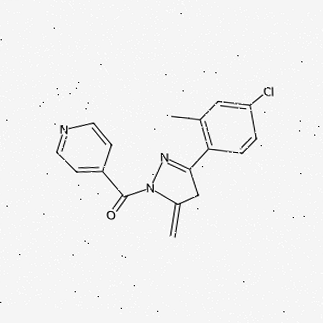 C=C1CC(c2ccc(Cl)cc2C)=NN1C(=O)c1ccncc1